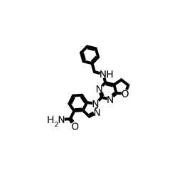 NC(=O)c1cccc2c1cnn2-c1nc(NCc2ccccc2)c2c(n1)OCC2